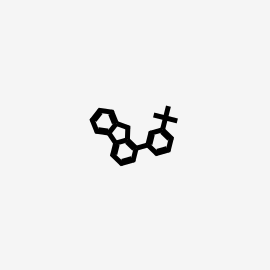 CC(C)(C)c1cccc(-c2cccc3c2Cc2ccccc2-3)c1